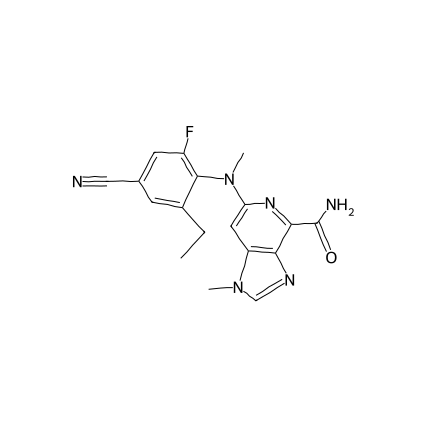 CCc1cc(C#N)cc(F)c1N(C)c1cc2c(ncn2C)c(C(N)=O)n1